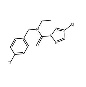 CCN(Cc1ccc(Cl)cc1)C(=O)n1cc(Cl)cn1